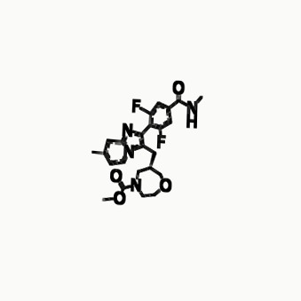 CNC(=O)c1cc(F)c(-c2nc3cc(C)ccn3c2C[C@H]2COCCN(C(=O)OC)C2)c(F)c1